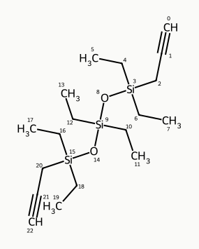 C#CC[Si](CC)(CC)O[Si](CC)(CC)O[Si](CC)(CC)CC#C